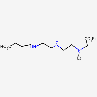 CCOC(=O)CN(CC)CCNCCNCCCC(=O)O